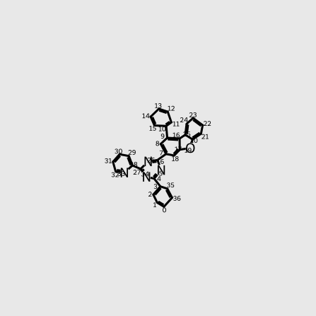 c1ccc(-c2nc(-c3cc(-c4ccccc4)c4c(c3)oc3ccccc34)nc(-c3ccccn3)n2)cc1